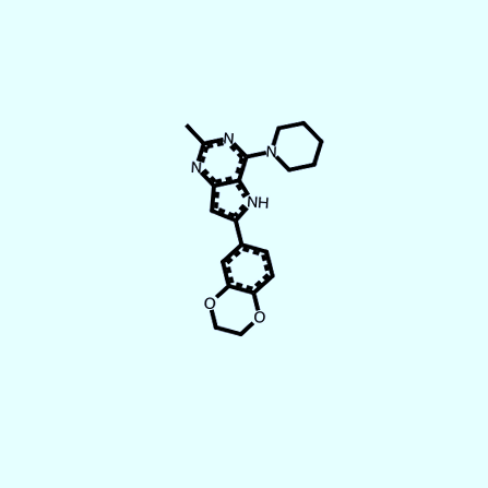 Cc1nc(N2CCCCC2)c2[nH]c(-c3ccc4c(c3)OCCO4)cc2n1